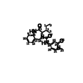 CCC(C)C1C(=O)Nc2ccccc2CN1C(=O)Nc1ccn(C)c(=O)c1